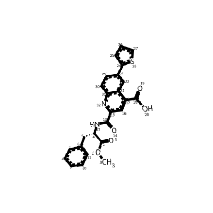 COC(=O)[C@H](Cc1ccccc1)NC(=O)c1cc(C(=O)O)c2cc(-c3cccs3)ccc2n1